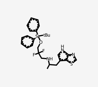 CC(Cc1c[nH]c2ncsc12)NCC(F)(F)CO[Si](c1ccccc1)(c1ccccc1)C(C)(C)C